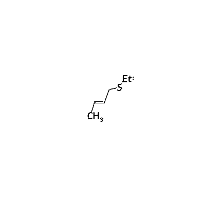 C[C]SCC=CC